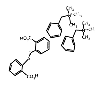 C[N+](C)(C)Cc1ccccc1.C[N+](C)(C)Cc1ccccc1.O=C(O)c1ccccc1SSc1ccccc1C(=O)O